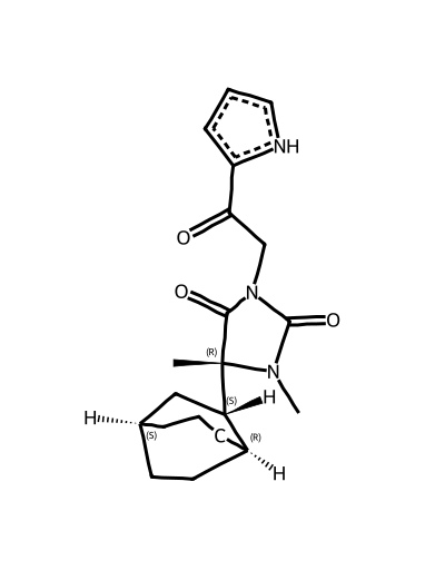 CN1C(=O)N(CC(=O)c2ccc[nH]2)C(=O)[C@@]1(C)[C@H]1C[C@H]2CCC[C@@H]1CC2